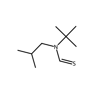 CC(C)CN(C=S)C(C)(C)C